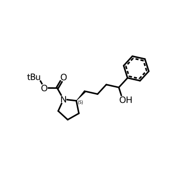 CC(C)(C)OC(=O)N1CCC[C@@H]1CCCC(O)c1ccccc1